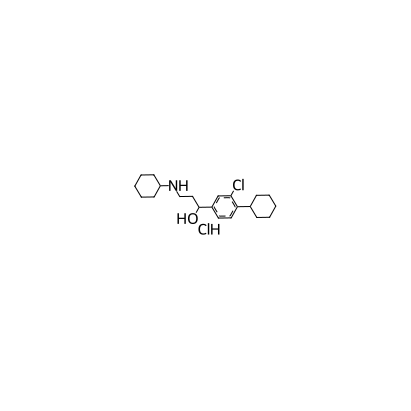 Cl.OC(CCNC1CCCCC1)c1ccc(C2CCCCC2)c(Cl)c1